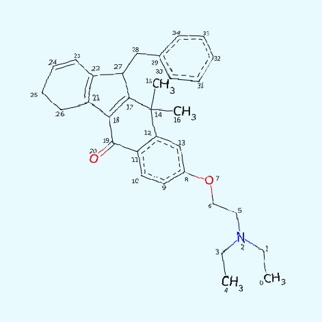 CCN(CC)CCOc1ccc2c(c1)C(C)(C)C1=C(C2=O)C2=C(C=CCC2)C1Cc1ccccc1